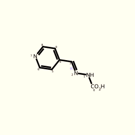 O=C(O)N/N=C/c1ccncc1